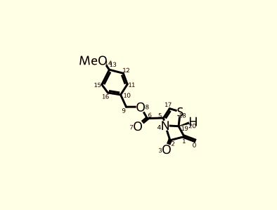 C=C1C(=O)N2C(C(=O)OCc3ccc(OC)cc3)=CS[C@H]12